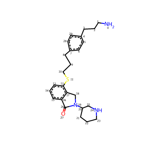 NCCCc1ccc(CCCSc2cccc3c2CN(C2CCCNC2)C3=O)cc1